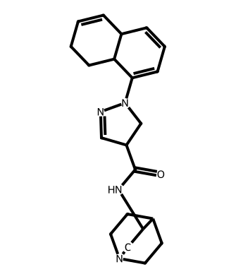 O=C(NC1CN2CCC1CC2)C1C=NN(C2=CC=CC3C=CCCC23)C1